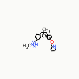 Cn1nnc(-c2ccc(CC(C)(C)Cc3ccc(OCc4ccccn4)cc3)cc2)n1